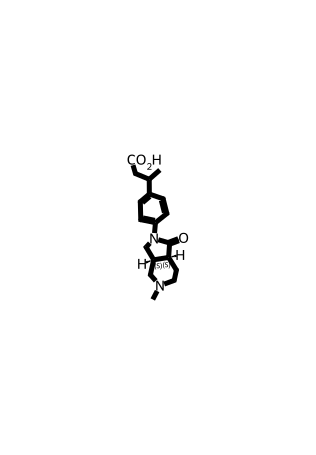 CC(CC(=O)O)c1ccc(N2C[C@@H]3CN(C)CC[C@@H]3C2=O)cc1